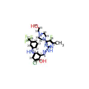 Cc1nc(N/N=C/c2cc(Nc3cccc(C(F)(F)F)c3)cc(Cl)c2O)nc(N2CCN(CCO)CC2)c1F